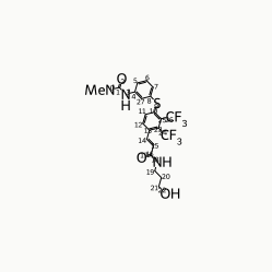 CNC(=O)Nc1cccc(Sc2ccc(/C=C/C(=O)NCCCO)c(C(F)(F)F)c2C(F)(F)F)c1